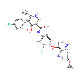 COc1cnc2c(Oc3ccc(NC(=O)c4cnc(C)c(-c5ccc(F)cc5)c4O)cc3F)ccnc2c1